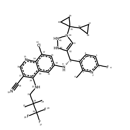 Cc1nc(F)ccc1[C@H](Nc1cc(Cl)c2ncc(C#N)c(NCC(C)(C)C(F)(F)F)c2c1)C1=CN(C2(C3CC3)CC2)NN1